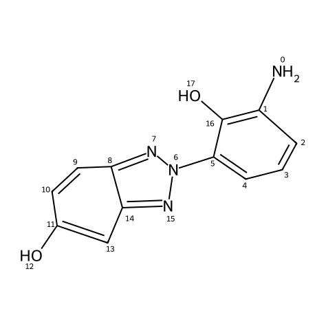 Nc1cccc(-n2nc3ccc(O)cc3n2)c1O